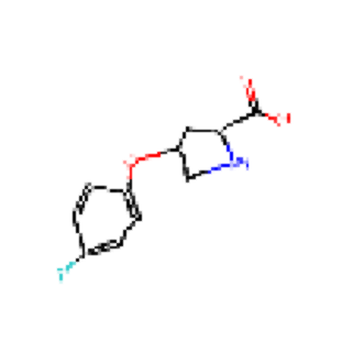 O=C(O)[C@@H]1CC(Oc2ccc(F)cc2)CN1